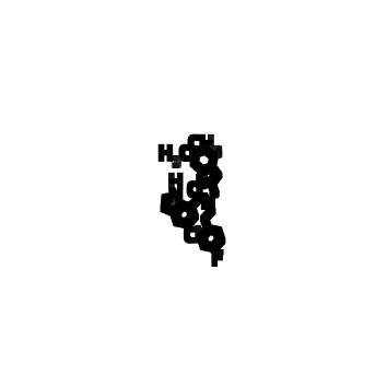 CC1(C)CCc2cc(CN(CCc3ccc(F)cc3)C(=O)c3cc(Cl)cc4cc[nH]c34)sc2C1